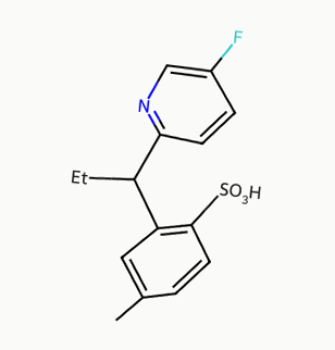 CCC(c1ccc(F)cn1)c1cc(C)ccc1S(=O)(=O)O